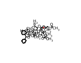 B[C@@H]1O[C@H](CO[Si](OC(c2ccccc2)c2ccccc2)(O[Si](C)(C)C)O[Si](C)(C)C)C(OP(OC)N(C(C)C)C(C)C)[C@@H]1OC(OCCOC(C)=O)OCCOC(C)=O